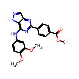 COC(=O)c1ccc(-c2nc(Nc3ccc(OC)c(OC)c3)c3[nH]ncc3n2)cc1